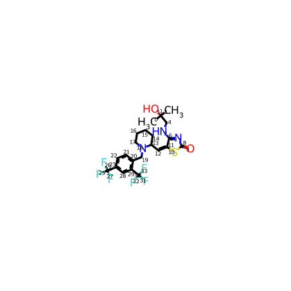 CC(C)(O)CNC1=NC(=O)SC1=CC1CCCCN1Cc1ccc(C(F)(F)F)cc1C(F)(F)F